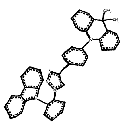 CC1(C)c2ccccc2N(c2ccc(-c3cn(-c4ccccc4-n4c5ccccc5c5ccccc54)nn3)cc2)c2ccccc21